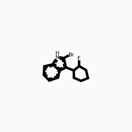 FC1CCCCC1c1c(Br)[nH]c2ccccc12